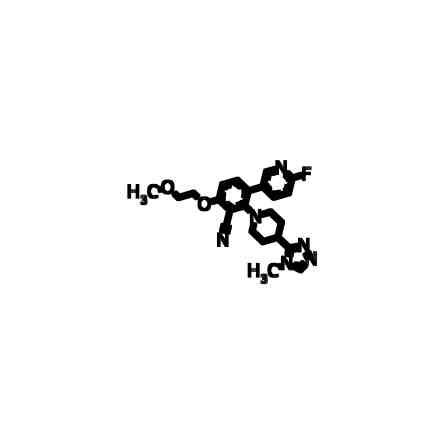 COCCOc1ccc(-c2ccc(F)nc2)c(N2CCC(c3nncn3C)CC2)c1C#N